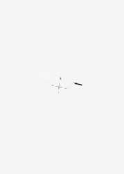 C=CCC(C=O)(CO)C(C)C